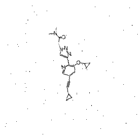 CN(C)C(=O)Cn1cc(-c2ncc(C#CC3CC3)cc2OC2CC2)nn1